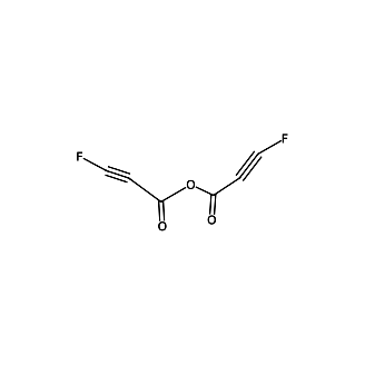 O=C(C#CF)OC(=O)C#CF